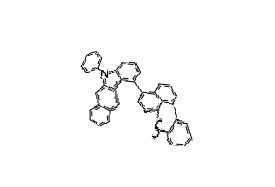 c1ccc(-n2c3cc4ccccc4cc3c3c(-c4ccc5c6c(cccc46)-c4ccccc4S5)cccc32)cc1